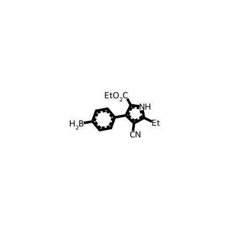 Bc1ccc(-c2c(C(=O)OCC)[nH]c(CC)c2C#N)cc1